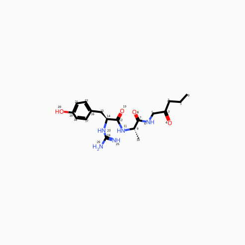 CC[CH]C(=O)CNC(=O)[C@H](C)NC(=O)[C@H](Cc1ccc(O)cc1)NC(=N)N